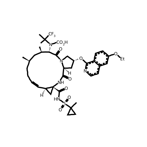 CCOc1ccc2c(O[C@@H]3C[C@H]4C(=O)N[C@]5(C(=O)NS(=O)(=O)C6(C)CC6)C[C@H]5/C=C\CC[C@@H](C)C[C@@H](C)[C@H](N(C(=O)O)C(C)(C)C(F)(F)F)C(=O)N4C3)nccc2c1